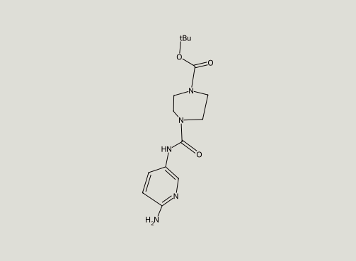 CC(C)(C)OC(=O)N1CCN(C(=O)Nc2ccc(N)nc2)CC1